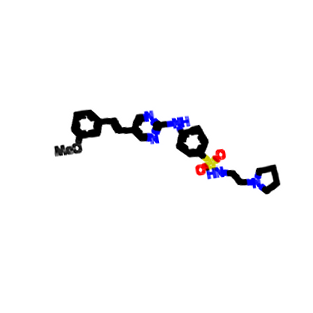 COc1cccc(C=Cc2cnc(Nc3ccc(S(=O)(=O)NCCN4CCCC4)cc3)nc2)c1